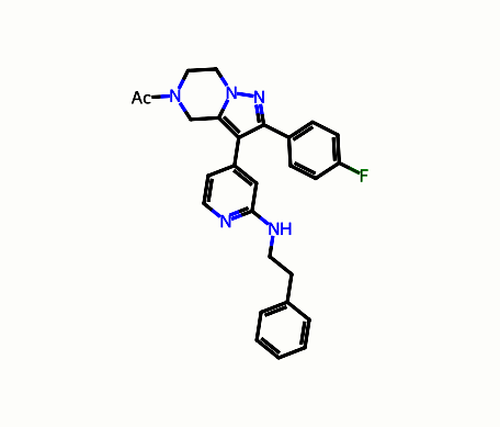 CC(=O)N1CCn2nc(-c3ccc(F)cc3)c(-c3ccnc(NCCc4ccccc4)c3)c2C1